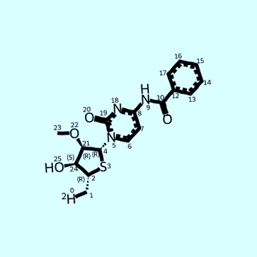 [2H]C[C@H]1S[C@@H](n2ccc(NC(=O)c3ccccc3)nc2=O)[C@H](OC)[C@@H]1O